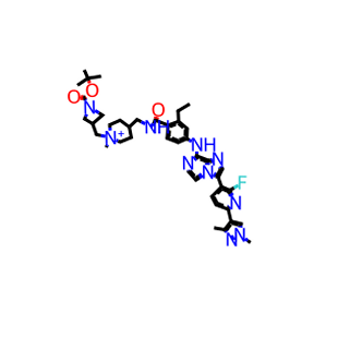 CCc1cc(Nc2nccn3c(-c4ccc(-c5cn(C)nc5C)nc4F)cnc23)ccc1C(=O)NCC1CC[N+](C)(CC2CN(C(=O)OC(C)(C)C)C2)CC1